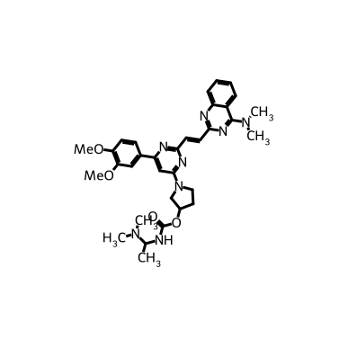 COc1ccc(-c2cc(N3CCC(OC(=O)NC(C)N(C)C)C3)nc(C=Cc3nc(N(C)C)c4ccccc4n3)n2)cc1OC